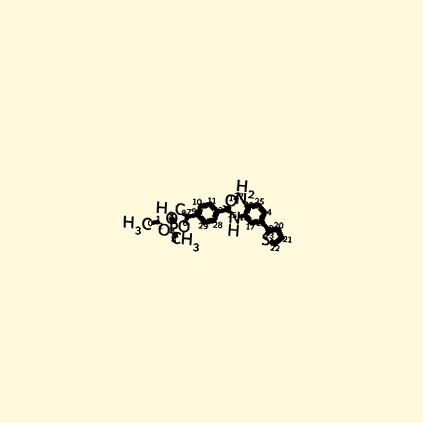 CCOP(C)(=O)OC(C)c1ccc(C(=O)Nc2cc(-c3cccs3)ccc2N)cc1